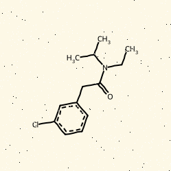 CCN(C(=O)Cc1cccc(Cl)c1)C(C)C